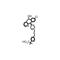 CC(C)(C(=O)O)c1ccc(CCCN2CCC(=C3c4ccc(Cl)cc4C(O)Cc4cccnc43)CC2)cc1